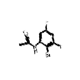 CC(=O)Nc1cc(F)[c]c(F)c1Br